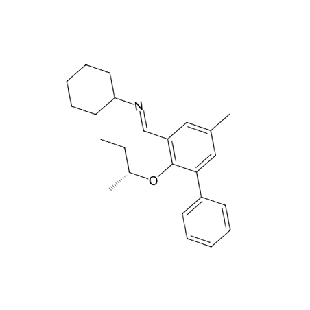 CC[C@@H](C)Oc1c(/C=N/C2CCCCC2)cc(C)cc1-c1ccccc1